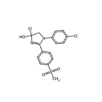 CS(=O)(=O)c1ccc(C2=NC(O)(Cl)CN2c2ccc(Cl)cc2)cc1